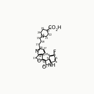 O=C1Nc2ccc(F)cc2/C1=C1/OCc2nc(CCCN3CCC(C(=O)O)CC3)ccc21